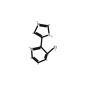 CCc1cccnc1-c1cncs1